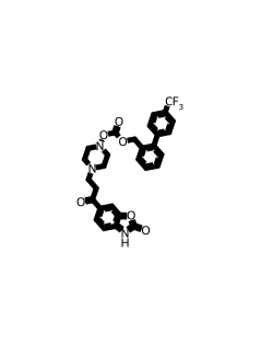 O=C(OCc1ccccc1-c1ccc(C(F)(F)F)cc1)ON1CCN(CCC(=O)c2ccc3[nH]c(=O)oc3c2)CC1